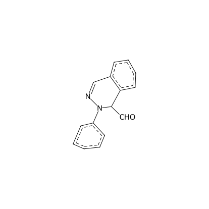 O=CC1c2ccccc2C=NN1c1ccccc1